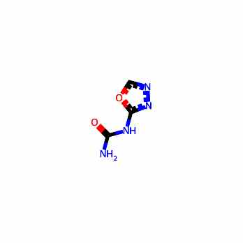 NC(=O)Nc1nnco1